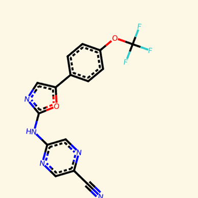 N#Cc1cnc(Nc2ncc(-c3ccc(OC(F)(F)F)cc3)o2)cn1